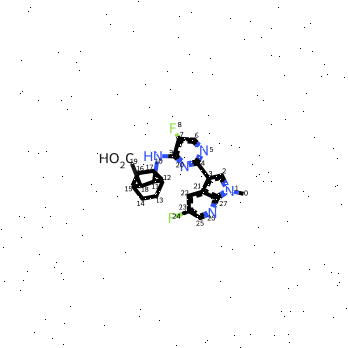 Cn1cc(-c2ncc(F)c(NC3C4CCC(CC4)C3C(=O)O)n2)c2cc(F)cnc21